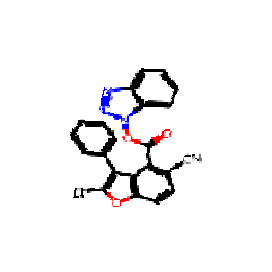 CCc1oc2ccc(C#N)c(C(=O)On3nnc4ccccc43)c2c1-c1ccccc1